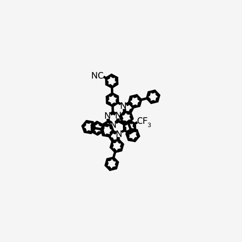 N#Cc1cccc(-c2ccc(-c3nc(-c4ccccc4)nc(-c4cc(C(F)(F)F)ccc4-n4c5ccc(-c6ccccc6)cc5c5cc(-c6ccccc6)ccc54)n3)c(-n3c4ccc(-c5ccccc5)cc4c4cc(-c5ccccc5)ccc43)c2)c1